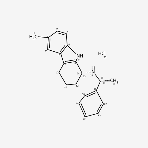 Cc1ccc2[nH]c3c(c2c1)CCC[C@H]3N[C@H](C)c1ccccc1.Cl